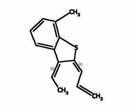 C=C/C=c1/sc2c(C)cccc2/c1=C/C